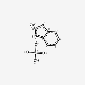 O=P([O-])([O-])O.[Zn+2].c1ccc2[nH]nnc2c1